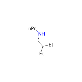 CCCNCC(CC)CC